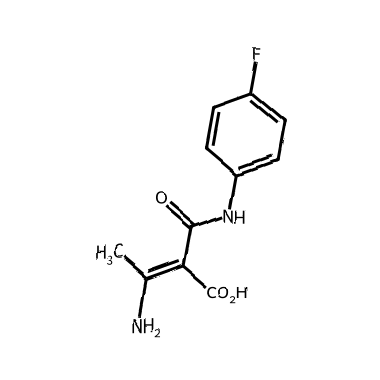 C/C(N)=C(/C(=O)O)C(=O)Nc1ccc(F)cc1